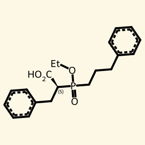 CCOP(=O)(CCCc1ccccc1)[C@@H](Cc1ccccc1)C(=O)O